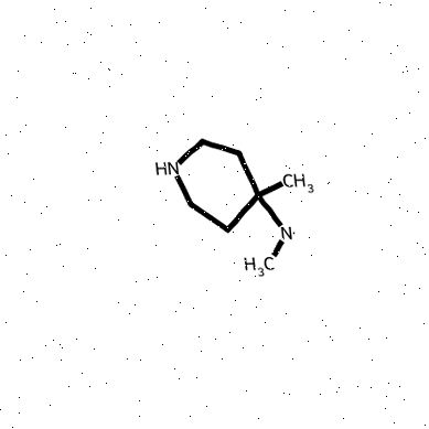 C[N]C1(C)CCNCC1